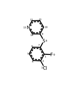 Fc1c(Cl)cccc1Sc1cccnc1